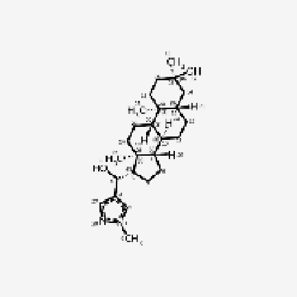 Cn1cc(C(O)[C@H]2CC[C@H]3[C@@H]4CC[C@H]5C[C@](C)(O)CC[C@]5(C)[C@H]4CC[C@]23C)cn1